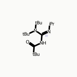 CC(C)/N=C(/NC(=O)C(C)(C)C)N(C(C)(C)C)C(C)(C)C